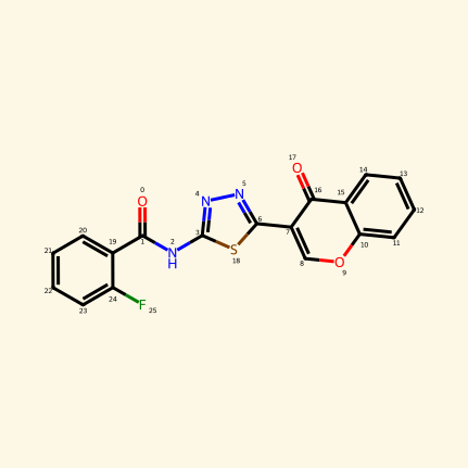 O=C(Nc1nnc(-c2coc3ccccc3c2=O)s1)c1ccccc1F